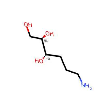 NCCC[C@H](O)[C@H](O)CO